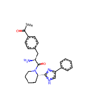 CNC(=O)c1ccc(C[C@H](N)C(=O)N2CCCC[C@H]2c2nc(-c3ccccc3)c[nH]2)cc1